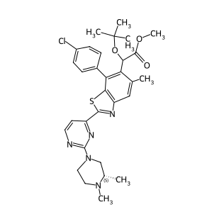 COC(=O)C(OC(C)(C)C)c1c(C)cc2nc(-c3ccnc(N4CCN(C)[C@@H](C)C4)n3)sc2c1-c1ccc(Cl)cc1